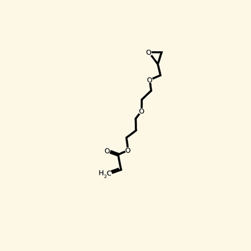 C=CC(=O)OCCCOCCOCC1CO1